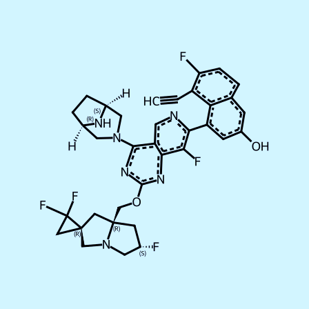 C#Cc1c(F)ccc2cc(O)cc(-c3ncc4c(N5C[C@H]6CC[C@@H](C5)N6)nc(OC[C@@]56C[C@H](F)CN5C[C@]5(CC5(F)F)C6)nc4c3F)c12